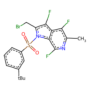 Cc1nc(F)c2c(c1F)c(F)c(CBr)n2S(=O)(=O)c1cccc(C(C)(C)C)c1